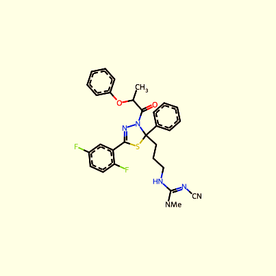 CNC(=NC#N)NCCCC1(c2ccccc2)SC(c2cc(F)ccc2F)=NN1C(=O)C(C)Oc1ccccc1